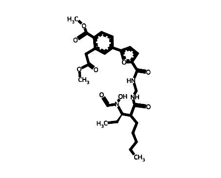 CCCCCC(C(=O)NCNC(=O)c1ccc(-c2ccc(C(=O)OC)c(CC(=O)OC)c2)o1)[C@@H](CC)N(O)C=O